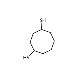 SC1CCCCC(S)CC1